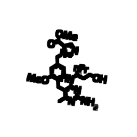 CCC[C@@H](CCO)Nc1nc(N)nc(C)c1Cc1ccc(Cn2cncc2C(=O)OC)cc1OC